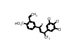 C=Cc1cc(C(F)=CC(c2cc(Cl)c(Cl)c(Cl)c2)C(F)(F)F)ccc1C(=O)O